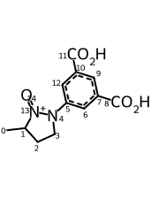 CC1CCN(c2cc(C(=O)O)cc(C(=O)O)c2)[N+]1=O